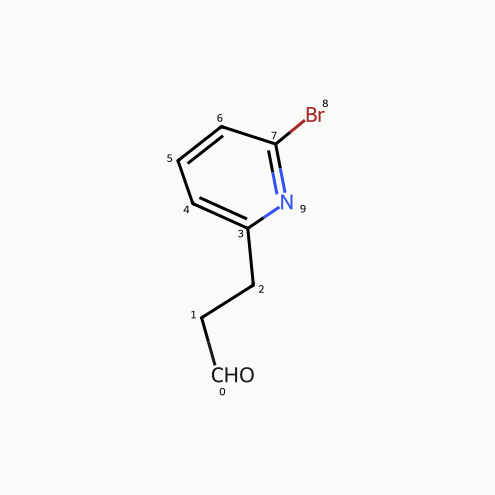 O=CCCc1cccc(Br)n1